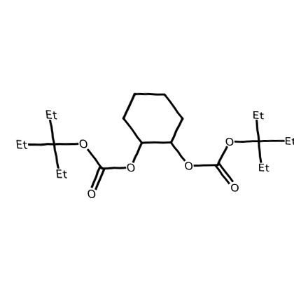 CCC(CC)(CC)OC(=O)OC1CCCCC1OC(=O)OC(CC)(CC)CC